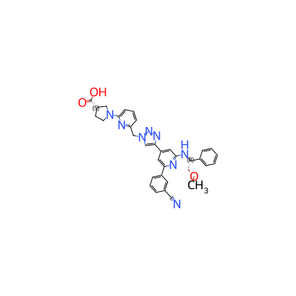 COC[C@H](Nc1cc(-c2cn(Cc3cccc(N4CC[C@H](C(=O)O)C4)n3)nn2)cc(-c2cccc(C#N)c2)n1)c1ccccc1